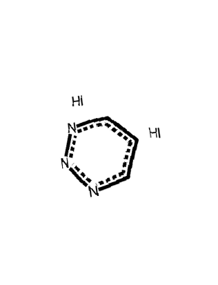 I.I.c1cnnnc1